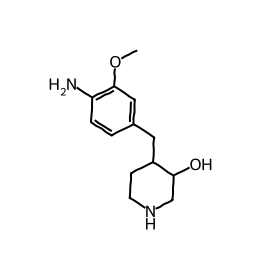 COc1cc(CC2CCNCC2O)ccc1N